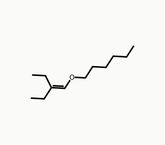 CCCCCCOC=C(CC)CC